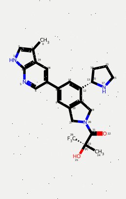 Cc1c[nH]c2ncc(-c3cc4c(c([C@@H]5CCCN5)c3)CN(C(=O)[C@@](C)(O)C(F)(F)F)C4)cc12